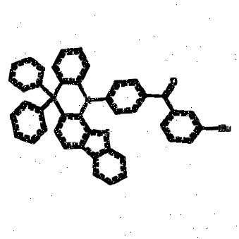 CC(C)(C)c1cccc(C(=O)c2ccc(N3c4ccccc4C(c4ccccc4)(c4ccccc4)c4ccc5c(sc6ccccc65)c43)cc2)c1